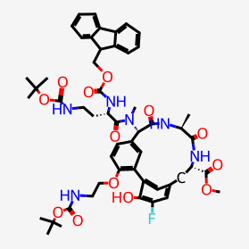 COC(=O)[C@@H]1Cc2cc(F)c(O)c(c2)-c2cc(ccc2OCCNC(=O)OC(C)(C)C)[C@H](N(C)C(=O)[C@H](CCNC(=O)OC(C)(C)C)NC(=O)OCC2c3ccccc3-c3ccccc32)C(=O)N[C@@H](C)C(=O)N1